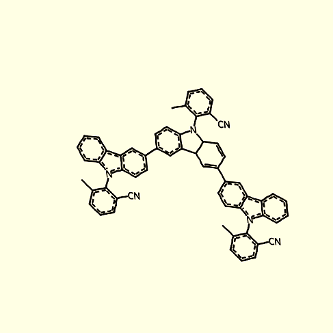 Cc1cccc(C#N)c1N1c2ccc(-c3ccc4c(c3)c3ccccc3n4-c3c(C)cccc3C#N)cc2C2C=C(c3ccc4c(c3)c3ccccc3n4-c3c(C)cccc3C#N)C=CC21